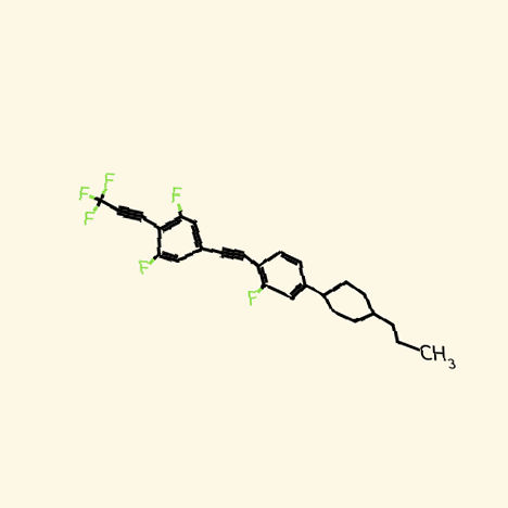 CCCC1CCC(c2ccc(C#Cc3cc(F)c(C#CC(F)(F)F)c(F)c3)c(F)c2)CC1